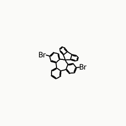 Brc1ccc2c(c1)-c1ccccc1-c1ccc(Br)cc1C21c2ccccc2-c2ccccc21